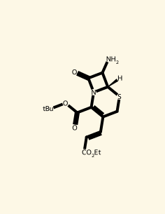 CCOC(=O)C=CC1=C(C(=O)OC(C)(C)C)N2C(=O)C(N)[C@@H]2SC1